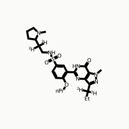 [2H]C([2H])(CC)c1nn(C)c2c(=O)[nH]c(-c3cc(S(=O)(=O)NCC([2H])([2H])C4CCCN4C)ccc3OCCC)nc12